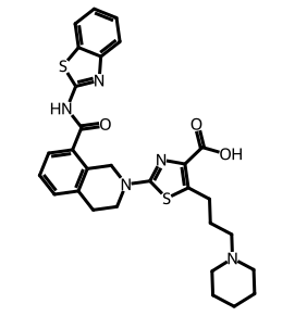 O=C(Nc1nc2ccccc2s1)c1cccc2c1CN(c1nc(C(=O)O)c(CCCN3CCCCC3)s1)CC2